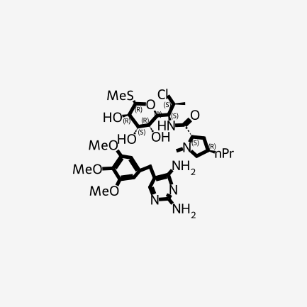 CCC[C@@H]1C[C@@H](C(=O)N[C@@H]([C@H]2O[C@H](SC)[C@H](O)[C@@H](O)[C@H]2O)[C@H](C)Cl)N(C)C1.COc1cc(Cc2cnc(N)nc2N)cc(OC)c1OC